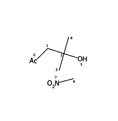 CC(=O)CC(C)(C)O.C[N+](=O)[O-]